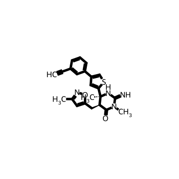 C#Cc1cccc(-c2csc([C@@]3(C)NC(=N)N(C)C(=O)[C@H]3Cc3cc(C)no3)c2)c1